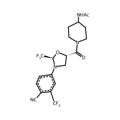 CC(=O)NC1CCN(C(=O)[C@@H]2CN(c3ccc(C#N)c(C(F)(F)F)c3)[C@@H](C(F)(F)F)O2)CC1